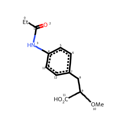 CCC(=O)Nc1ccc(CC(OC)C(=O)O)cc1